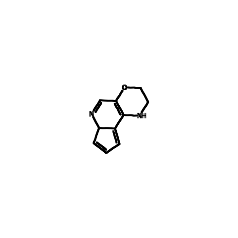 C1=CC2N=CC3=C(NCCO3)C2=C1